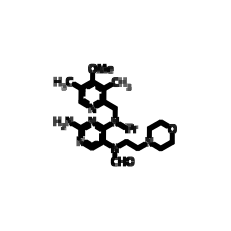 COc1c(C)cnc(CN(c2nc(N)ncc2N(C=O)CCN2CCOCC2)C(C)C)c1C